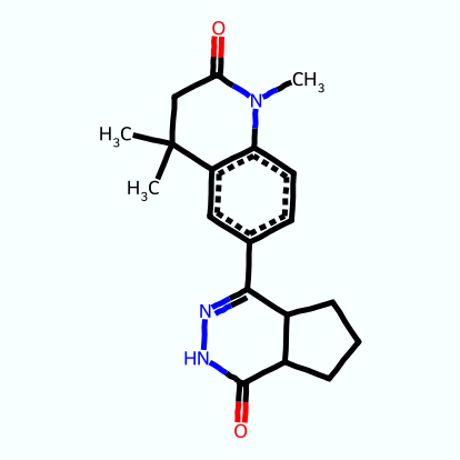 CN1C(=O)CC(C)(C)c2cc(C3=NNC(=O)C4CCCC34)ccc21